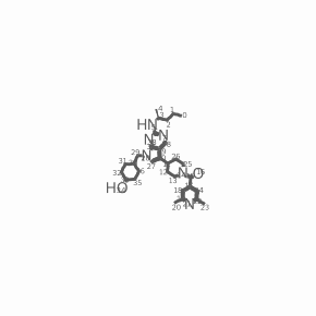 CCC[C@H](C)Nc1ncc2c(C3CCN(C(=O)c4cc(C)nc(C)c4)CC3)cn(CC3CCC(O)CC3)c2n1